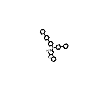 C1=C(N(c2ccc(-c3ccccc3)cc2)c2ccc(-c3ccc(-c4ccccc4)cc3)cc2)NCc2oc3ccccc3c21